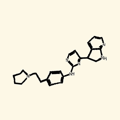 c1cnc2c(c1)C(c1ccnc(Nc3ccc(CCN4CCCC4)cc3)n1)CN2